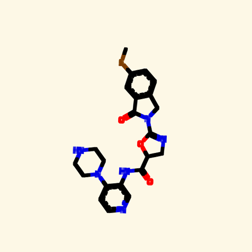 CSc1ccc2c(c1)C(=O)N(C1=NCC(C(=O)Nc3cnccc3N3CCNCC3)O1)C2